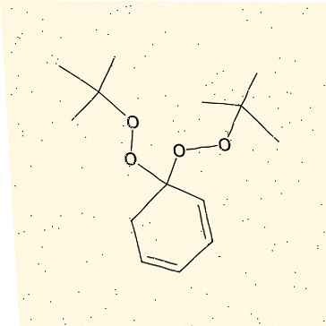 CC(C)(C)OOC1(OOC(C)(C)C)C=CC=CC1